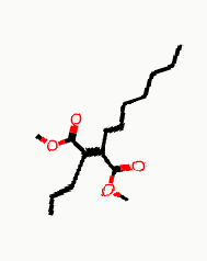 CCCCCCCC(C(=O)OC)=C(CCC)C(=O)OC